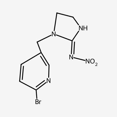 O=[N+]([O-])N=C1NCCN1Cc1ccc(Br)nc1